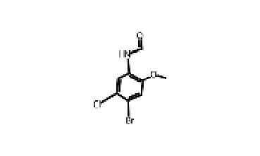 COc1cc(Br)c(Cl)cc1NC=O